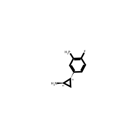 N[C@@H]1C[C@H]1c1ccc(F)c(P)c1